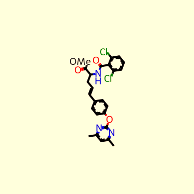 COC(=O)C(C/C=C/c1ccc(Oc2nc(C)cc(C)n2)cc1)NC(=O)c1c(Cl)cccc1Cl